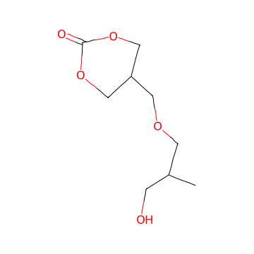 CC(CO)COCC1COC(=O)OC1